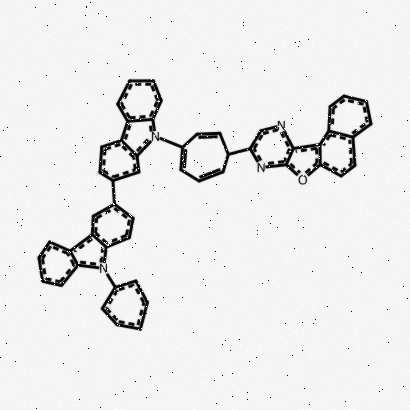 C1=CC(c2cnc3c(n2)oc2ccc4ccccc4c23)C=CC(n2c3ccccc3c3ccc(-c4ccc5c(c4)c4ccccc4n5-c4ccccc4)cc32)=C1